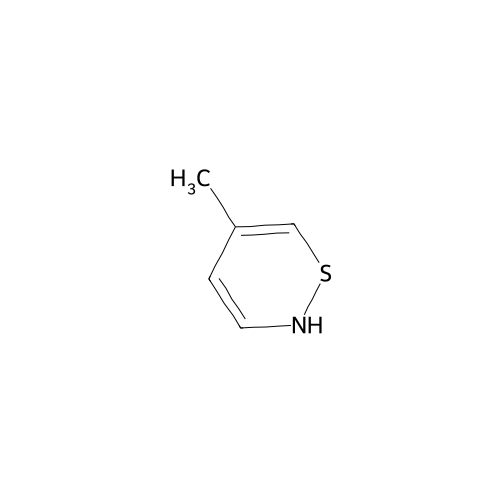 CC1=CSNC=C1